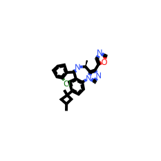 CC1CC(C)(c2ccc3c(c2)C(c2ccccc2Cl)=N[C@@H](C)c2c(-c4cnco4)ncn2-3)C1